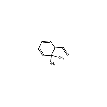 CC1(N)C=CC=CC1[C]=O